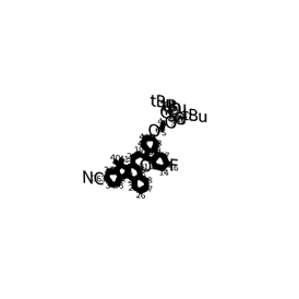 CC(C)(C)O[Si](OCCOc1ccc(C2(c3ccc(F)cc3)C=Cc3c4c(c5ccccc5c3O2)-c2ccc(C#N)cc2C4(C)C)cc1)(OC(C)(C)C)OC(C)(C)C